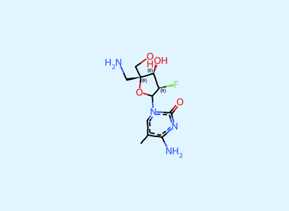 Cc1cn(C2O[C@](CN)(CO)[C@@H](O)[C@H]2F)c(=O)nc1N